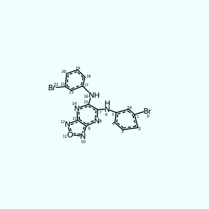 Brc1cccc(Nc2nc3nonc3nc2Nc2cccc(Br)c2)c1